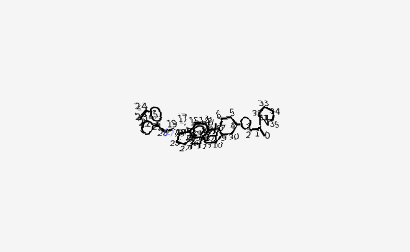 CC(COC1CC[C@@]2(C)C(CC[C@@H]3[C@@H]2CC[C@]2(C)[C@@H](/C=C/C4OCCO4)CC[C@@]32O)C1)N1CCCC1